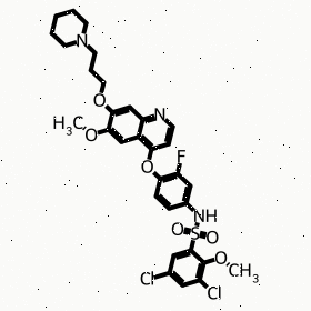 COc1cc2c(Oc3ccc(NS(=O)(=O)c4cc(Cl)cc(Cl)c4OC)cc3F)ccnc2cc1OCCCN1CCCCC1